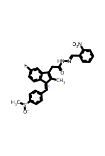 CC1=C(CC(=O)NN=Cc2ccccc2[N+](=O)[O-])c2cc(F)ccc2/C1=C\c1ccc([S+](C)[O-])cc1